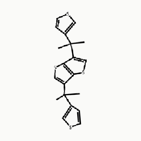 CC(C)(c1ccsc1)c1csc2c(C(C)(C)c3ccsc3)csc12